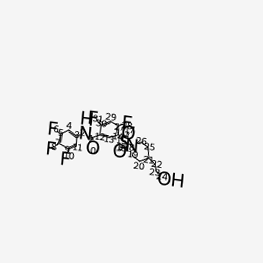 O=C(Nc1cc(F)c(F)c(F)c1)c1cc(S(=O)(=O)N2CCC(CCO)CC2)c(F)cc1F